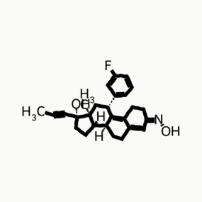 CC#C[C@]1(O)CC[C@H]2[C@@H]3CCC4=CC(=NO)CCC4=C3[C@@H](c3cccc(F)c3)C[C@@]21C